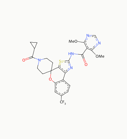 COc1ncnc(OC)c1C(=O)Nc1nc2c(s1)C1(CCN(C(=O)C3CC3)CC1)Oc1cc(C(F)(F)F)ccc1-2